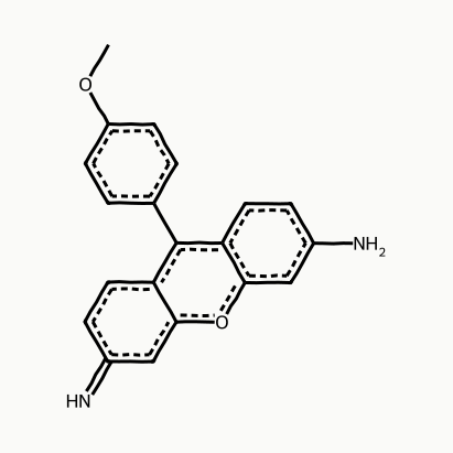 COc1ccc(-c2c3ccc(=N)cc-3oc3cc(N)ccc23)cc1